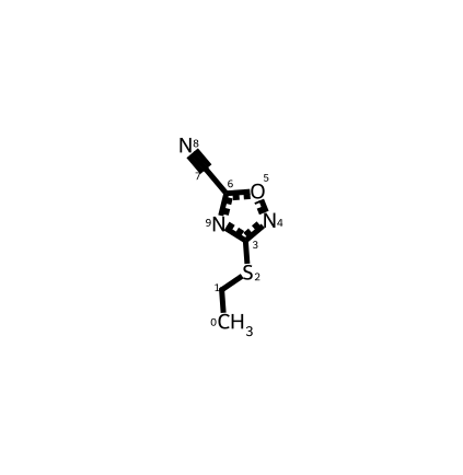 CCSc1noc(C#N)n1